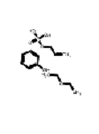 C=CCOP(=O)(O)O.CCOCC.Oc1ccccc1